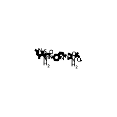 COCC(C)(C)OC1CN(c2ccc3c(n2)CCC(NC(=O)c2sc4nc(C)cc(C)c4c2N)C3)CC1N